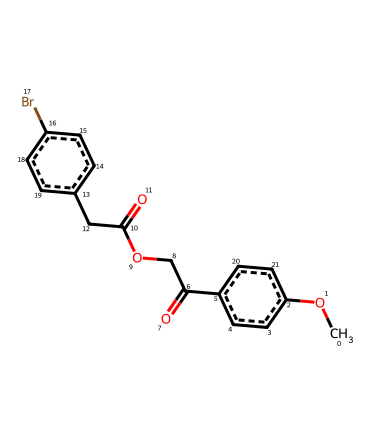 COc1ccc(C(=O)COC(=O)Cc2ccc(Br)cc2)cc1